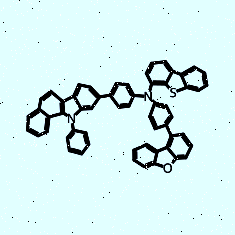 c1ccc(-n2c3cc(-c4ccc(N(c5ccc(-c6cccc7oc8ccccc8c67)cc5)c5cccc6c5sc5ccccc56)cc4)ccc3c3ccc4ccccc4c32)cc1